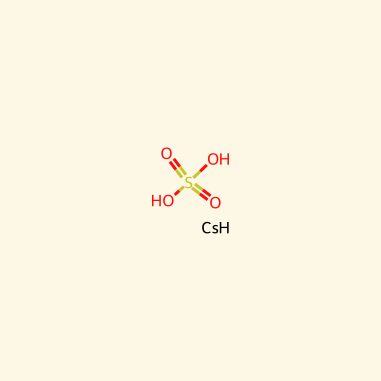 O=S(=O)(O)O.[CsH]